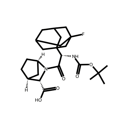 CC(C)(C)OC(=O)N[C@H](C(=O)N1[C@@H]2CC[C@@H](C2)[C@H]1C(=O)O)C12CC3CC(CC(F)(C3)C1)C2